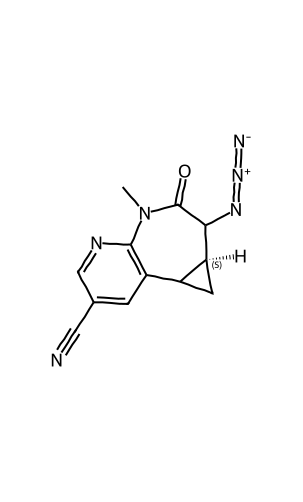 CN1C(=O)C(N=[N+]=[N-])[C@H]2CC2c2cc(C#N)cnc21